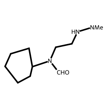 CNNCCN(C=O)C1CCCCC1